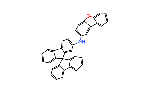 c1ccc2c(c1)-c1ccccc1C21c2ccccc2-c2ccc(Nc3ccc4oc5ccccc5c4c3)cc21